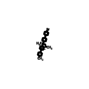 Cc1ccc(-c2ccc(C(C)(CC(C)C)c3ccc(-c4ccc(Br)cc4)cc3)cc2)cc1